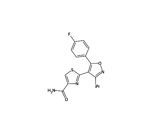 CC(C)c1noc(-c2ccc(F)cc2)c1-c1nc(C(N)=O)cs1